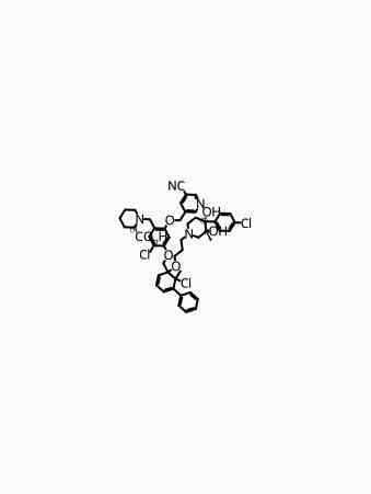 CC1(Cl)C(c2ccccc2)=CC=CC1(COc1cc(OCc2cncc(C#N)c2)c(CN2CCCC[C@H]2C(=O)O)cc1Cl)OCCCN1CC[C@@](O)(c2ccc(Cl)cc2)[C@](C)(O)C1